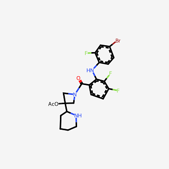 CC(=O)OC1(C2CCCCN2)CN(C(=O)c2ccc(F)c(F)c2Nc2ccc(Br)cc2F)C1